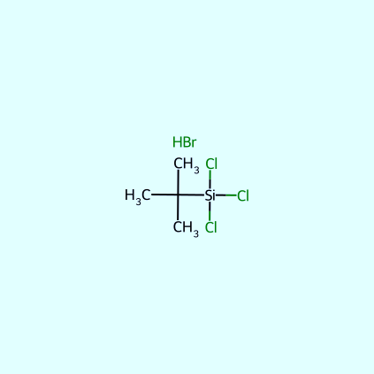 Br.CC(C)(C)[Si](Cl)(Cl)Cl